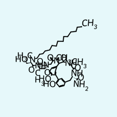 CCCCCCCCCCCCCCCC(=O)N(C)[C@H](CO)C(=O)N[C@H](C)C(=O)NCC(=O)N(C)[C@@H]1C(=O)N[C@@H](C)C(=O)N[C@H](C(N)=O)Cc2ccc(O)c(c2)-c2cc1ccc2O